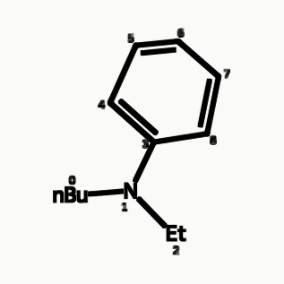 [CH2]CCCN(CC)c1ccccc1